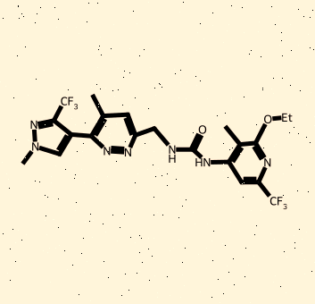 CCOc1nc(C(F)(F)F)cc(NC(=O)NCc2cc(C)c(-c3cn(C)nc3C(F)(F)F)nn2)c1C